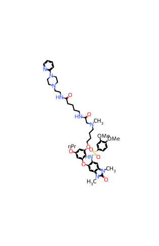 CCCOc1cc(OCCCCN(C)CC(=O)NCCCCC(=O)NCCN2CCN(c3ccccn3)CC2)cc(Oc2cc3c(cc2NS(=O)(=O)c2ccc(OC)c(OC)c2)n(C)c(=O)n3C)c1